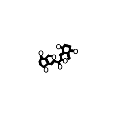 O=C1C=CC(=O)C2=CC(C(=O)C3=CC4=C(CO3)C(=O)C=CC4=O)OC=C12